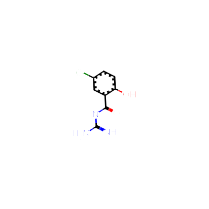 N=C(N)NC(=O)c1cc(Cl)ccc1O